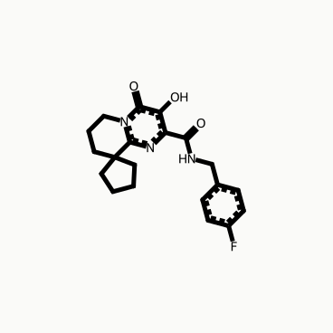 O=C(NCc1ccc(F)cc1)c1nc2n(c(=O)c1O)CCCC21CCCC1